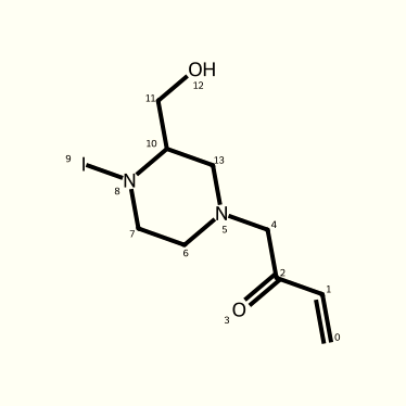 C=CC(=O)CN1CCN(I)C(CO)C1